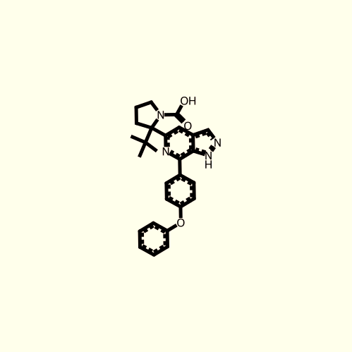 CC(C)(C)C1(c2cc3cn[nH]c3c(-c3ccc(Oc4ccccc4)cc3)n2)CCCN1C(=O)O